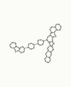 c1ccc2cc3cc4c(cc3cc2c1)nc1c2sc3c5ccccc5ccc3c2cc(-c2ccc(-c3ccc(-c5ccc6sc7ccccc7c6c5)cc3)cc2)n41